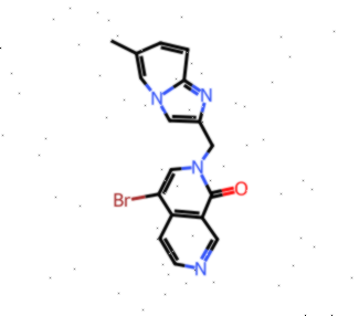 Cc1ccc2nc(Cn3cc(Br)c4ccncc4c3=O)cn2c1